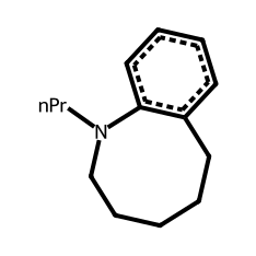 C[CH]CN1CCCCCc2ccccc21